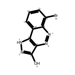 Oc1n[nH]c2c1nnc1c(Br)cccc12